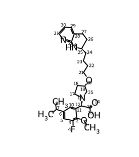 COc1c(F)cc(C(C)C)cc1[C@H](C(=O)O)N1CC[C@@H](OCCCC[C@@H]2CCc3cccnc3N2)C1